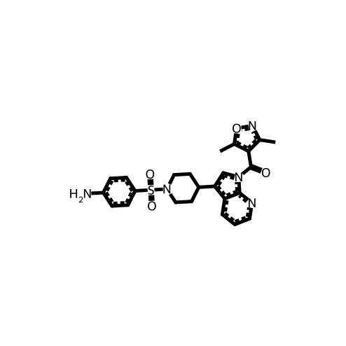 Cc1noc(C)c1C(=O)n1cc(C2CCN(S(=O)(=O)c3ccc(N)cc3)CC2)c2cccnc21